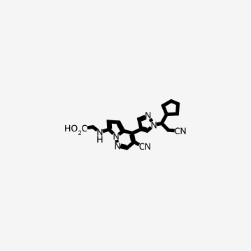 N#CCC(C1CCCC1)n1cc(-c2c(C#N)cnn3c(NCC(=O)O)ccc23)cn1